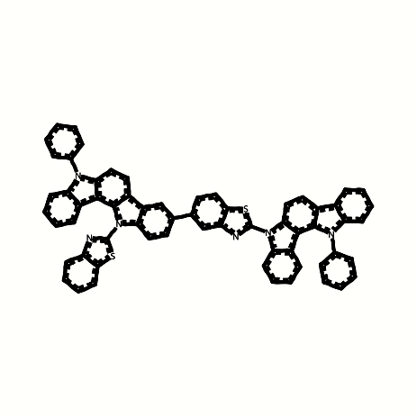 c1ccc(-n2c3ccccc3c3c2ccc2c4cc(-c5ccc6sc(-n7c8ccccc8c8c7ccc7c9ccccc9n(-c9ccccc9)c78)nc6c5)ccc4n(-c4nc5ccccc5s4)c23)cc1